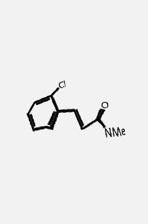 CNC(=O)C=Cc1ccccc1Cl